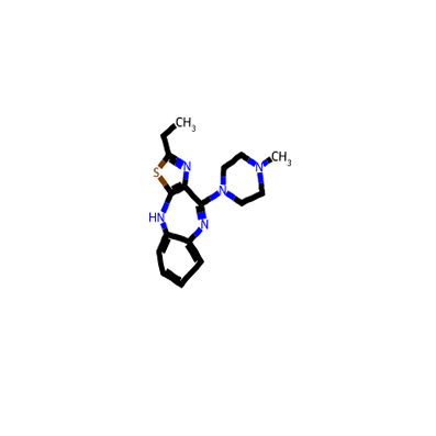 CCc1nc2c(s1)Nc1ccccc1N=C2N1CCN(C)CC1